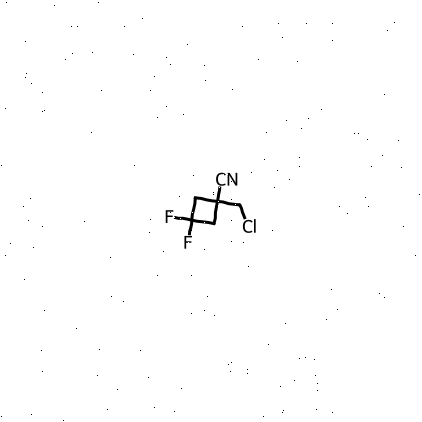 N#CC1(CCl)CC(F)(F)C1